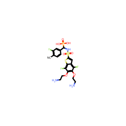 N#Cc1ccc(C(NS(=O)(=O)c2cc3c(F)c(OCCN)c(OCCN)c(F)c3s2)P(=O)(O)O)cc1F